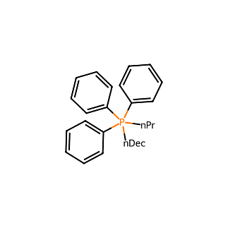 CCCCCCCCCCP(CCC)(c1ccccc1)(c1ccccc1)c1ccccc1